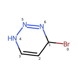 Br[C]1C=CNN=N1